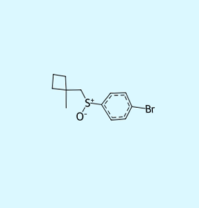 CC1(C[S+]([O-])c2ccc(Br)cc2)CCC1